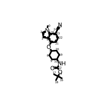 Cn1ccc2c(OC3CCC(NC(=O)OC(C)(C)C)CC3)ccc(C#N)c21